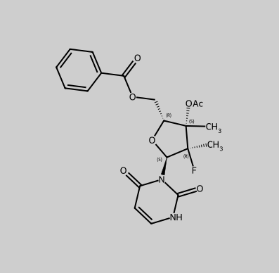 CC(=O)O[C@@]1(C)[C@@H](COC(=O)c2ccccc2)O[C@H](n2c(=O)cc[nH]c2=O)[C@]1(C)F